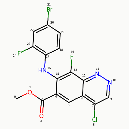 COC(=O)c1cc2c(Cl)cnnc2c(F)c1Nc1ccc(Br)cc1F